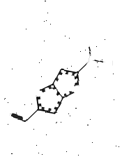 O=Cc1cc2sc(B(O)O)cc2s1